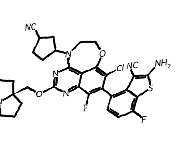 N#Cc1c(N)sc2c(F)ccc(-c3c(Cl)c4c5c(nc(OC[C@@]67CCCN6C[C@H](F)C7)nc5c3F)N(C3CCC(C#N)C3)CCO4)c12